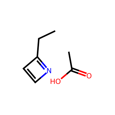 CC(=O)O.CCC1=NC=C1